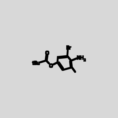 Cc1cc(OC(=O)C(C)(C)C)cc(Br)c1N